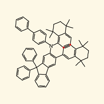 CC1(C)CCC(C)(C)c2cc(-c3cc4c(cc3N(c3ccc(-c5ccccc5)cc3)c3cccc5c3C(C)(C)CCC5(C)C)C(c3ccccc3)(c3ccccc3)c3ccccc3-4)ccc21